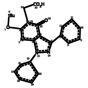 CC(C)(C)Oc1nc2c(c(-c3ccccc3)nn2-c2ccccc2)c(=O)n1CC(=O)O